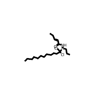 CCC=CC(=O)NN(CCC)C(Cl)(Cl)CCCCCCCCCCC